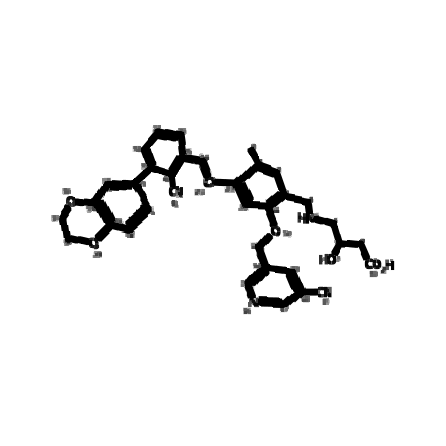 Cc1cc(CNCC(O)CC(=O)O)c(OCc2cncc(C#N)c2)cc1OCc1cccc(-c2ccc3c(c2)OCCO3)c1C#N